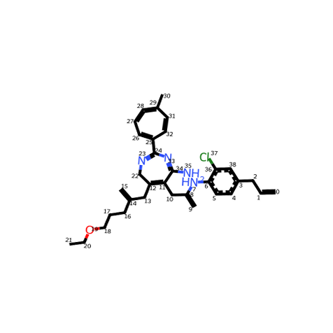 C=CCc1ccc(NC(=C)CC2=C(CC(=C)CCCOCC)CN=C(C3=CC=C=C(C)C=C3)N=C2N)c(Cl)c1